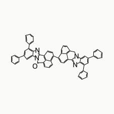 O=c1c2cccc3c(-c4ccc5c6c(cccc46)Cn4c-5nc5c(-c6ccccc6)cc(-c6ccccc6)cc54)ccc(c32)c2nc3c(-c4ccccc4)cc(-c4ccccc4)cc3n12